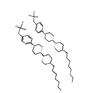 CCCCCCCC[C@H]1CC[C@H]([C@H]2CC[C@H](c3ccc(CC(F)(F)F)cc3)CC2)CC1.CCCCCCC[C@H]1CC[C@H]([C@H]2CC[C@H](c3ccc(CC(F)(F)F)cc3)CC2)CC1